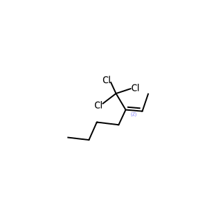 C/C=C(/CCCC)C(Cl)(Cl)Cl